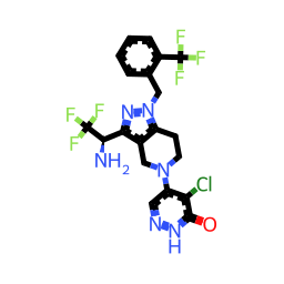 N[C@H](c1nn(Cc2ccccc2C(F)(F)F)c2c1CN(c1cn[nH]c(=O)c1Cl)CC2)C(F)(F)F